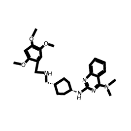 COc1cc(OC)c(OC)cc1CNC[C@H]1CC[C@@H](Nc2nc(N(C)C)c3ccccc3n2)CC1